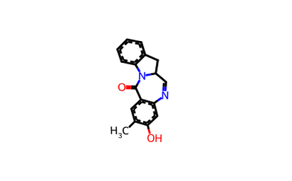 Cc1cc2c(cc1O)N=CC1Cc3ccccc3N1C2=O